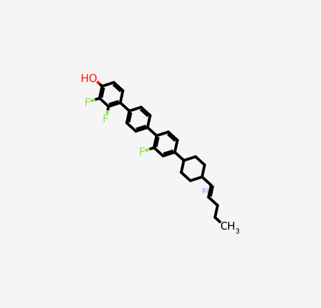 CCC/C=C/C1CCC(c2ccc(-c3ccc(-c4ccc(O)c(F)c4F)cc3)c(F)c2)CC1